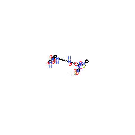 CS(=O)(=O)N1CCC(C(=O)N[C@@H](COCCCC(=O)NCCCCCCCCNc2cccc3c2C(=O)N(C2CCC(=O)NC2=O)C3=O)C(=O)NC2NC(c3ccccc3)CS2)C1